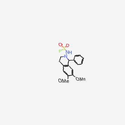 COc1cc2c(cc1OC)C(c1ccccc1)N(NS(=O)(=O)F)CC2